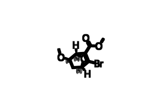 COC(=O)C1=C(Br)[C@@H]2C[C@@H](OC)[C@H]1O2